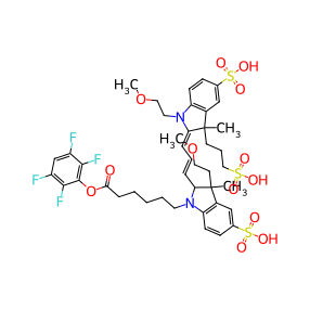 COCCN1/C(=C/C=C/C2N(CCCCCC(=O)Oc3c(F)c(F)cc(F)c3F)c3ccc(S(=O)(=O)O)cc3C2(C)CCOC)C(C)(CCCS(=O)(=O)O)c2cc(S(=O)(=O)O)ccc21